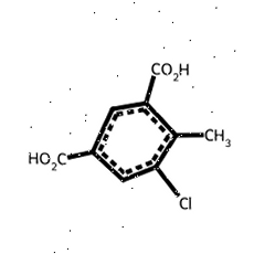 Cc1c(Cl)cc(C(=O)O)cc1C(=O)O